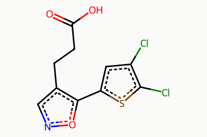 O=C(O)CCc1cnoc1-c1cc(Cl)c(Cl)s1